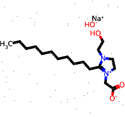 CCCCCCCCCCCC1=[N+](CC(=O)[O-])CCN1CCO.[Na+].[OH-]